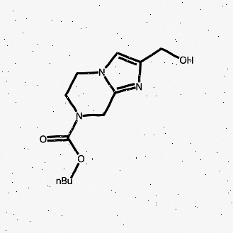 CCCCOC(=O)N1CCn2cc(CO)nc2C1